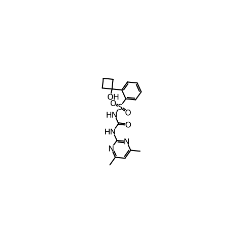 Cc1cc(C)nc(NC(=O)NS(=O)(=O)c2ccccc2C2(O)CCC2)n1